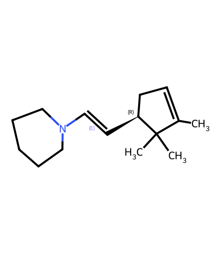 CC1=CC[C@H](/C=C/N2CCCCC2)C1(C)C